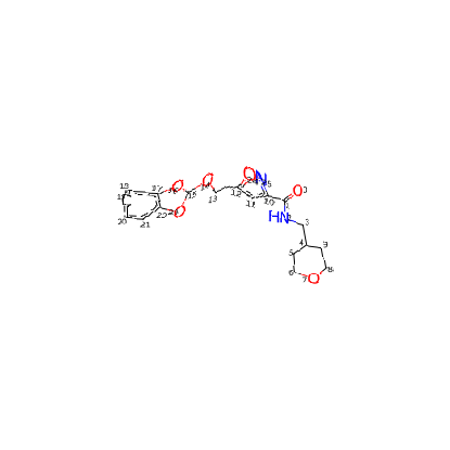 O=C(NCC1CCOCC1)c1cc(COC2Oc3ccccc3O2)on1